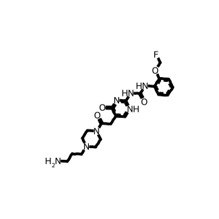 NCCCN1CCN(C(=O)Cc2c[nH]c(NC(=O)Nc3ccccc3OCF)nc2=O)CC1